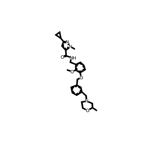 COc1c(CNC(=O)c2cc(C3CC3)nn2C)cccc1OCc1cccc(CN2CCOC(C)C2)c1